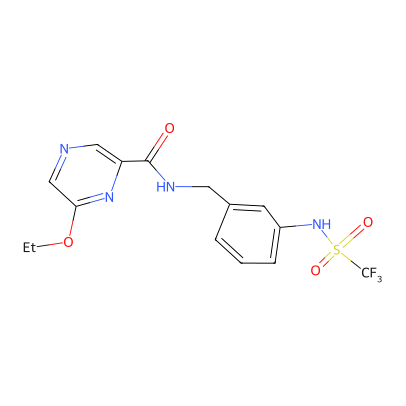 CCOc1cncc(C(=O)NCc2cccc(NS(=O)(=O)C(F)(F)F)c2)n1